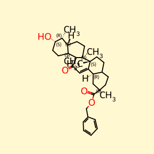 C[C@H]1[C@@H](O)CC[C@]2(C)C3C(=O)C=C4[C@@H]5C[C@@](C)(C(=O)OCc6ccccc6)CCC5CC[C@@]4(C)[C@]3(C)CC[C@@H]12